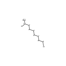 [Li][CH](C)CCCCCCCC